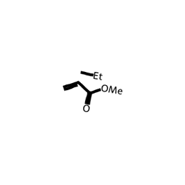 C=CC(=O)OC.CCC